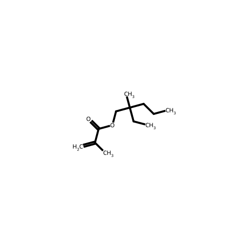 C=C(C)C(=O)OCC(C)(CC)CCC